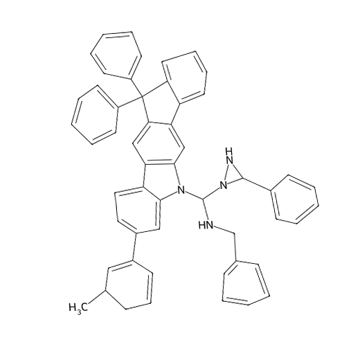 CC1C=C(c2ccc3c4cc5c(cc4n(C(NCc4ccccc4)N4NC4c4ccccc4)c3c2)-c2ccccc2C5(c2ccccc2)c2ccccc2)C=CC1